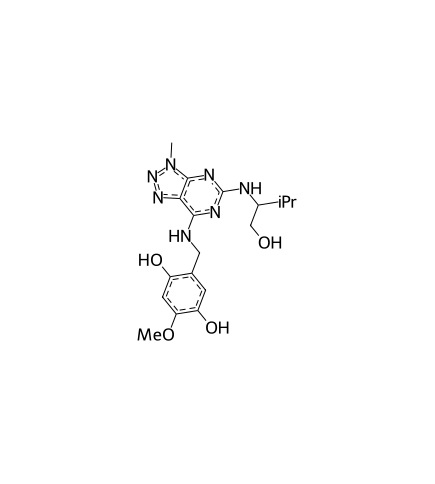 COc1cc(O)c(CNc2nc(NC(CO)C(C)C)nc3c2nnn3C)cc1O